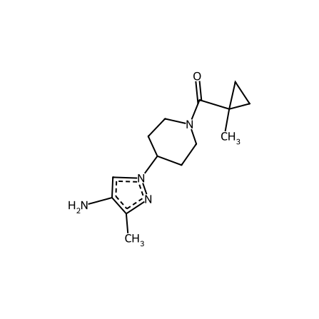 Cc1nn(C2CCN(C(=O)C3(C)CC3)CC2)cc1N